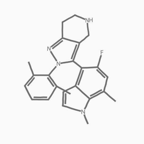 Cc1cccc(C)c1-n1nc2c(c1-c1c(F)cc(C)c3c1ccn3C)CNCC2